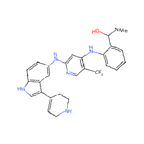 CNC(O)c1ccccc1Nc1cc(Nc2ccc3[nH]cc(C4=CCNCC4)c3c2)ncc1C(F)(F)F